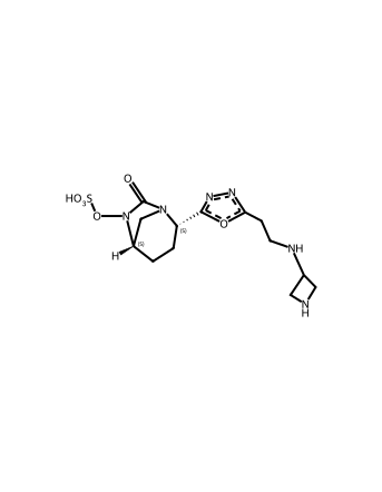 O=C1N2C[C@H](CC[C@H]2c2nnc(CCNC3CNC3)o2)N1OS(=O)(=O)O